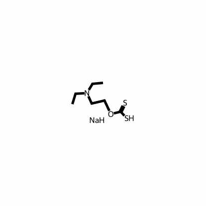 CCN(CC)CCOC(=S)S.[NaH]